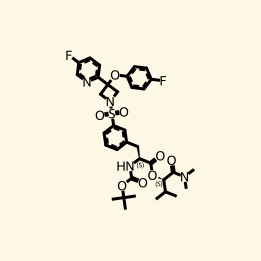 CC(C)[C@H](OC(=O)[C@H](Cc1cccc(S(=O)(=O)N2CC(Oc3ccc(F)cc3)(c3ccc(F)cn3)C2)c1)NC(=O)OC(C)(C)C)C(=O)N(C)C